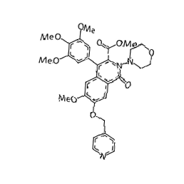 COC(=O)c1c(-c2cc(OC)c(OC)c(OC)c2)c2cc(OC)c(OCc3ccncc3)cc2c(=O)n1N1CCOCC1